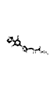 COC(=S)NCc1cn(-c2cc(F)c(-n3ccnc3)c(F)c2)nn1